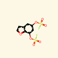 O=S(=O)(F)Oc1cc(OS(=O)(=O)F)c2occc2c1